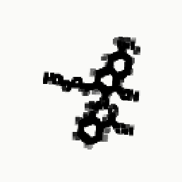 Nc1ccc2c(O)c(N=Nc3ccccc3C(=O)O)c(SOOO)cc2c1